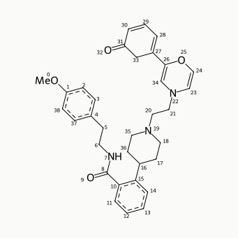 COc1ccc(CCNC(=O)c2ccccc2C2CCN(CCN3C=COC(C4=CC=CC(=O)C4)=C3)CC2)cc1